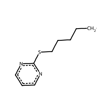 [CH2]CCCCSc1ncccn1